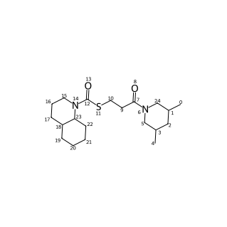 CC1CC(C)CN(C(=O)CCSC(=O)N2CCCC3CCCCC32)C1